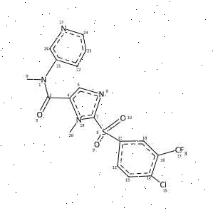 CN(C(=O)c1cnc(S(=O)(=O)c2ccc(Cl)c(C(F)(F)F)c2)n1C)c1cccnc1